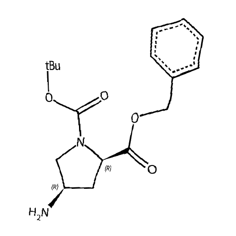 CC(C)(C)OC(=O)N1C[C@H](N)C[C@@H]1C(=O)OCc1ccccc1